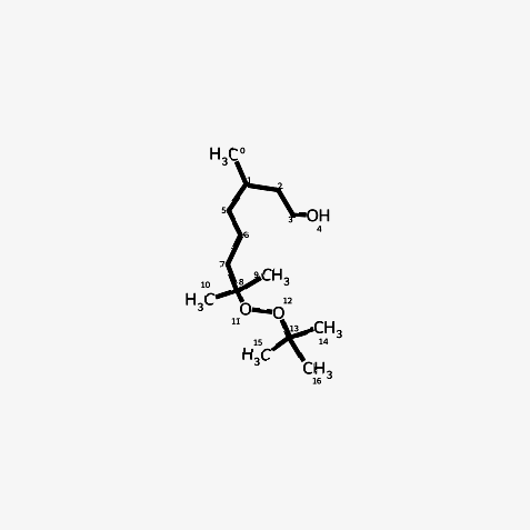 CC(CCO)CCCC(C)(C)OOC(C)(C)C